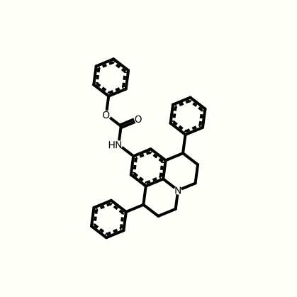 O=C(Nc1cc2c3c(c1)C(c1ccccc1)CCN3CCC2c1ccccc1)Oc1ccccc1